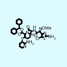 CON=C(C(=O)N[C@@H]1C(=O)N2C(C(=O)OC(c3ccccc3)c3ccccc3)=C(Sc3cccnc3N)CC[C@H]12)c1nc(N)sc1Cl